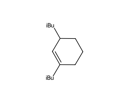 CCC(C)C1=CC(C(C)CC)CCC1